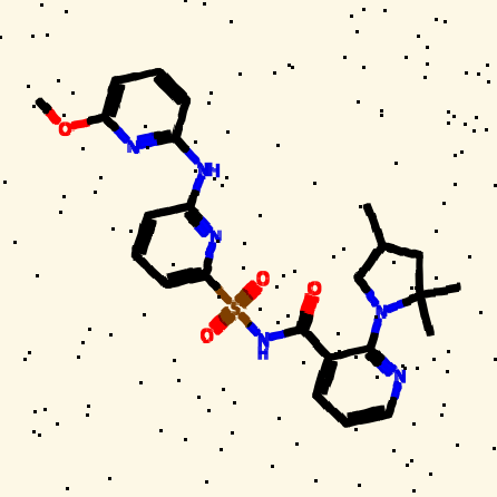 COc1cccc(Nc2cccc(S(=O)(=O)NC(=O)c3cccnc3N3CC(C)CC3(C)C)n2)n1